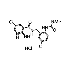 CNC(=O)Nc1ccc(Cl)cc1CNC(=O)c1cc(Cl)c[nH]c1=N.Cl